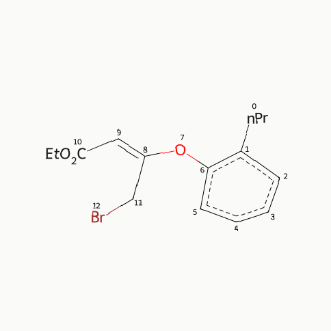 CCCc1ccccc1O/C(=C/C(=O)OCC)CBr